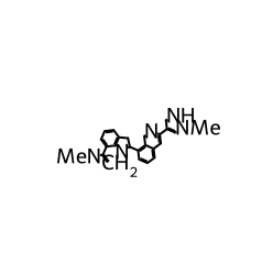 C=C(NC)c1cccc2c1N=C(c1cccc3cc(/C(C=N)=C/NC)ncc13)C2